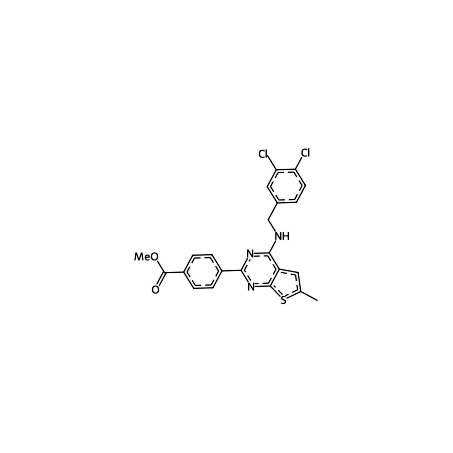 COC(=O)c1ccc(-c2nc(NCc3ccc(Cl)c(Cl)c3)c3cc(C)sc3n2)cc1